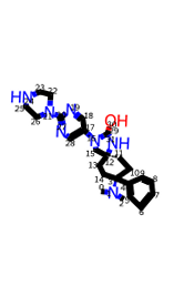 CN(C)[C@]1(c2ccccc2)CC[C@]2(CC1)CN(c1cnc(N3CCNCC3)nc1)C(O)N2